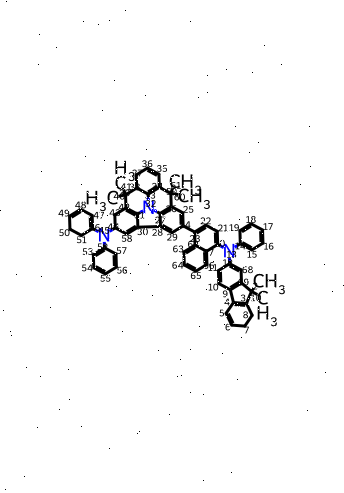 CC1(C)C2=C(C=CCC2)c2ccc(N(c3ccccc3)c3ccc(-c4cc5c6c(c4)c4c7n6C6=C(C=CCC6C(C)(C)C=7CC(N(C6=CC=CCC6)c6ccccc6)C=4)C5(C)C)c4ccccc34)cc21